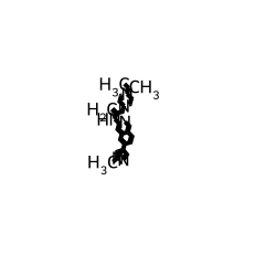 C=C(CN1CCN(C(C)C)CC1)Nc1cc2cc(-c3cnn(C)c3)ccc2cn1